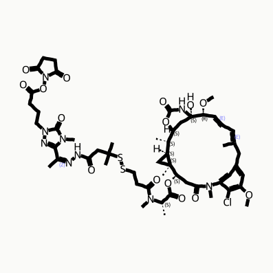 COc1cc2cc(c1Cl)N(C)C(=O)C[C@H](OC(=O)[C@H](C)N(C)C(=O)CCSSC(C)(C)CC(=O)N/N=C(/C)c1nn(CCCC(=O)ON3C(=O)CCC3=O)c(=O)n1C)[C@@]1(C)C[C@H]1[C@H](C)[C@@H]1C[C@@](O)(NC(=O)O1)[C@H](OC)/C=C/C=C(\C)C2